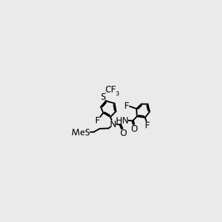 CSCCCN(C(=O)NC(=O)c1c(F)cccc1F)c1ccc(SC(F)(F)F)cc1F